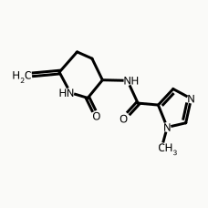 C=C1CCC(NC(=O)c2cncn2C)C(=O)N1